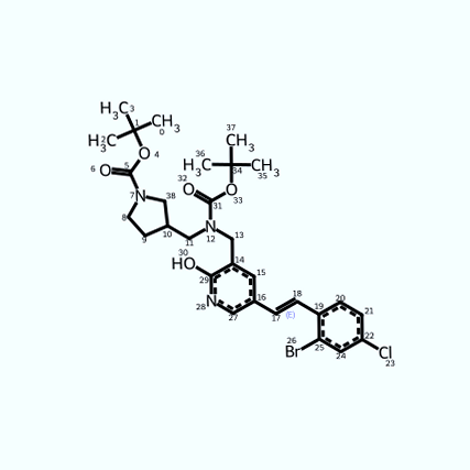 CC(C)(C)OC(=O)N1CCC(CN(Cc2cc(/C=C/c3ccc(Cl)cc3Br)cnc2O)C(=O)OC(C)(C)C)C1